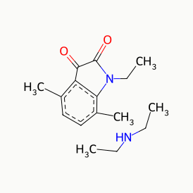 CCN1C(=O)C(=O)c2c(C)ccc(C)c21.CCNCC